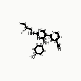 CC[C@H](F)CNc1ncc(-c2cc(C#N)ccn2)c(N[C@H]2CC[C@H](O)CC2)n1